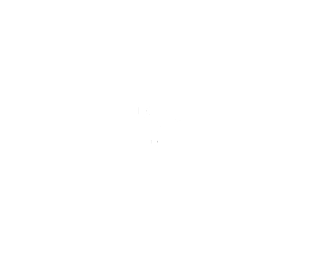 C[C]=O.[Pr]